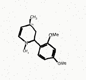 COc1ccc(C2C[C@H](C)C=CN2C)c(OC)c1